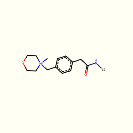 CCNC(=O)Cc1ccc(C[N+]2(C)CCOCC2)cc1